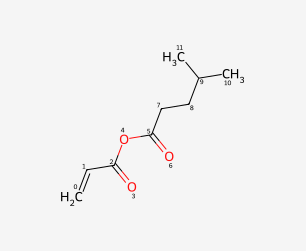 C=CC(=O)OC(=O)CCC(C)C